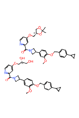 COc1cc(C2CN(C(=O)c3cc(OC[C@H](O)CO)ccn3)C2)ccc1OCc1ccc(C2CC2)cc1.COc1cc(C2CN(C(=O)c3cc(OC[C@H]4COC(C)(C)O4)ccn3)C2)ccc1OCc1ccc(C2CC2)cc1